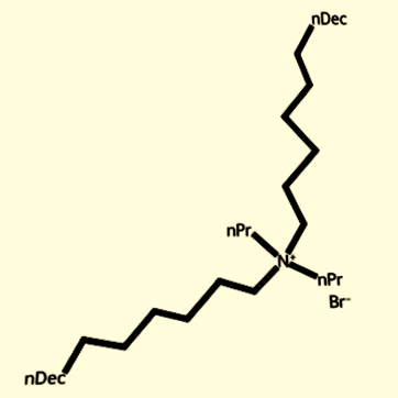 CCCCCCCCCCCCCCCC[N+](CCC)(CCC)CCCCCCCCCCCCCCCC.[Br-]